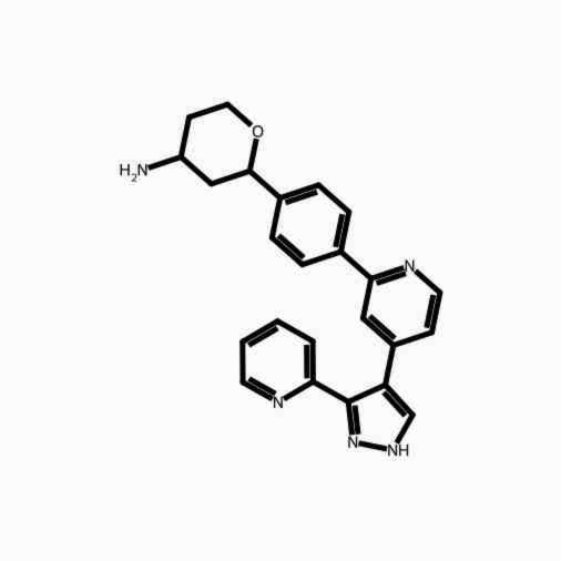 NC1CCOC(c2ccc(-c3cc(-c4c[nH]nc4-c4ccccn4)ccn3)cc2)C1